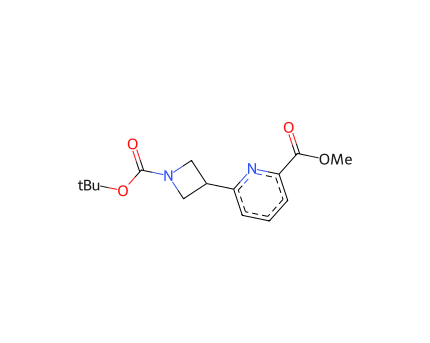 COC(=O)c1cccc(C2CN(C(=O)OC(C)(C)C)C2)n1